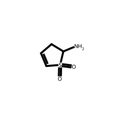 NC1CC=CS1(=O)=O